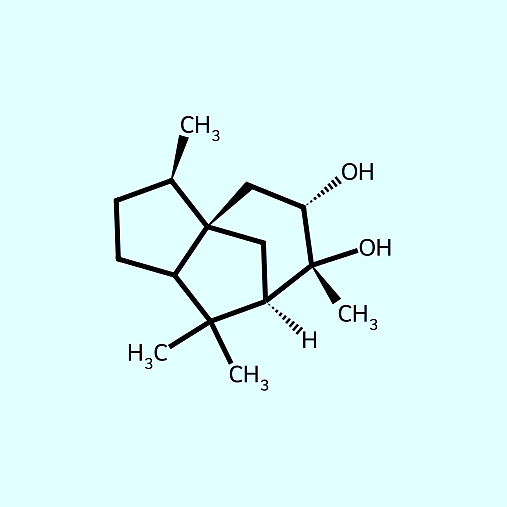 C[C@@H]1CCC2C(C)(C)[C@H]3C[C@]21C[C@H](O)[C@]3(C)O